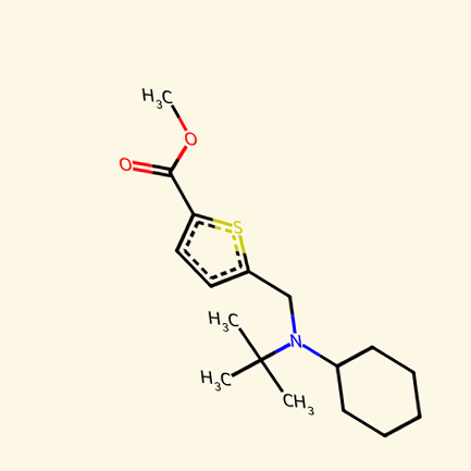 COC(=O)c1ccc(CN(C2CCCCC2)C(C)(C)C)s1